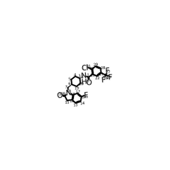 O=C(N[C@H]1CC[C@H](CN2C(=O)Cc3ccc(F)cc32)CC1)c1cc(C(F)(F)F)ccc1Cl